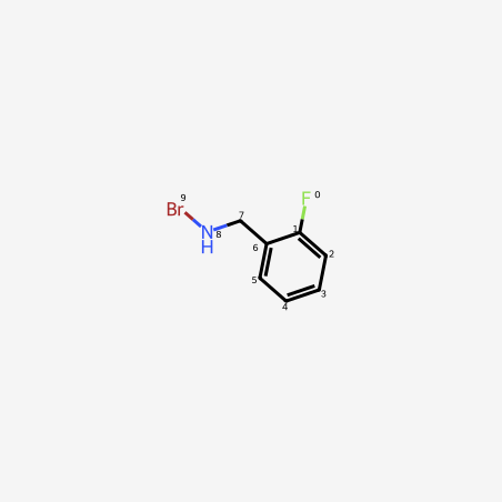 Fc1ccccc1CNBr